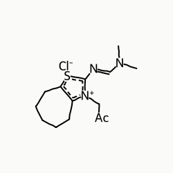 CC(=O)C[n+]1c(N=CN(C)C)sc2c1CCCCC2.[Cl-]